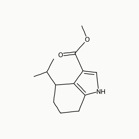 COC(=O)c1c[nH]c2c1C(C(C)C)CCC2